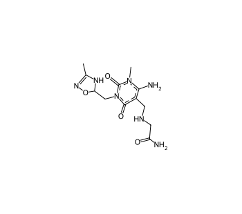 CC1=NOC(Cn2c(=O)c(CNCC(N)=O)c(N)n(C)c2=O)N1